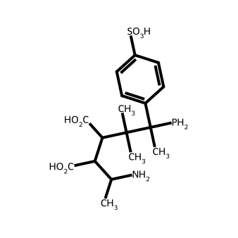 CC(N)C(C(=O)O)C(C(=O)O)C(C)(C)C(C)(P)c1ccc(S(=O)(=O)O)cc1